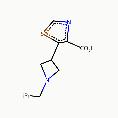 CC(C)CN1CC(c2scnc2C(=O)O)C1